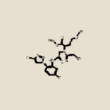 CC(C)OCCC(C(=O)OC(C)(C)C)N(CC(=O)Nc1cc(Cl)ccc1-n1cc(Cl)nn1)C(=O)CCl